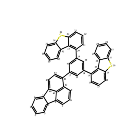 c1ccc2c(c1)-c1cccc3c(-c4cc(-c5cccc6sc7ccccc7c56)cc(-c5cccc6sc7ccccc7c56)c4)ccc-2c13